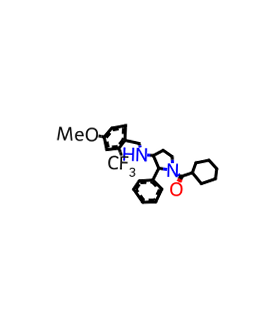 COc1ccc(CNC2CCN(C(=O)C3CCCCC3)C2c2ccccc2)c(C(F)(F)F)c1